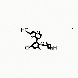 Cc1cc(Cl)cc(-c2ccnc3cc(CO)sc23)c1OCC1(C)CNC1